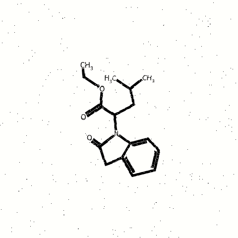 CCOC(=O)C(CC(C)C)N1C(=O)Cc2ccccc21